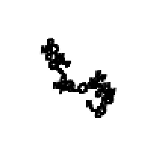 N#CCC1CN(c2ccn3ncc(C(=O)Nc4cn([C@H]5CC[C@H](CN6CC=C(OCC#Cc7cccc8c(C9CCC(=O)NC9=O)nn(C9CC9)c78)[C@](F)(S)C6)CC5)nc4C(F)F)c3n2)CCO1